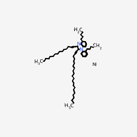 C=CCCCc1ccccc1N=C(C#CCCCCCCCCCCCCC)C(C#CCCCCCCCCCCCCCCCCCCCCC)=Nc1ccccc1CCCC=C.[Ni]